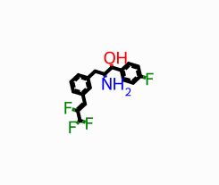 NC(Cc1cccc(/C=C(\F)C(F)F)c1)C(O)c1ccc(F)cc1